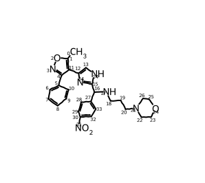 Cc1onc(-c2ccccc2)c1-c1c[nH]c(C(NCCCN2CCOCC2)c2ccc([N+](=O)[O-])cc2)n1